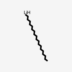 CCCCCCCCCCCCCCCCCCCC.[LiH]